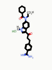 Cl.Cn1cc(C(=O)CCc2ccc(C(=N)N)cc2)c2ccc(N(CC(=O)O)C(=O)C3CCCCC3)cc21